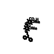 COc1c(C)c(OC(=O)c2c(C)c(C)c(OCCC=C(c3ccccc3)c3ccccc3)c(C)c2OC)c(C)c(C)c1C(=O)O